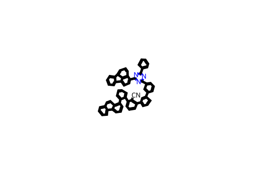 N#Cc1c(-c2cccc(-c3cccc(-c4nc(-c5ccccc5)nc(-c5ccc6c7c(cccc57)-c5ccccc5-6)n4)c3)c2)cccc1-c1ccccc1-c1cccc2c1ccc1ccccc12